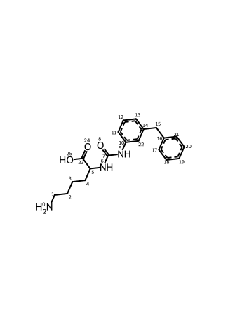 NCCCCC(NC(=O)Nc1cccc(Cc2ccccc2)c1)C(=O)O